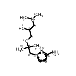 CN(C)CC(O)COC(C)(C)Cn1ccc(N)n1